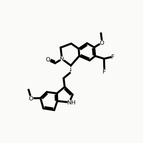 COc1ccc2[nH]cc(CC[C@H]3c4cc(C(F)F)c(OC)cc4CCN3C=O)c2c1